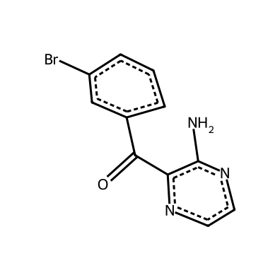 Nc1nccnc1C(=O)c1cccc(Br)c1